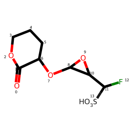 O=C1OCCCC1OC1OC1C(F)S(=O)(=O)O